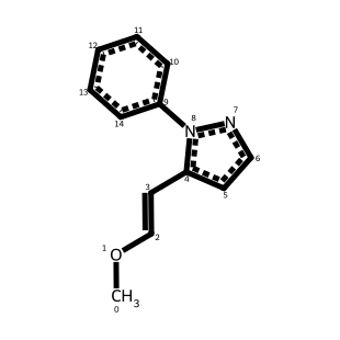 COC=Cc1ccnn1-c1ccccc1